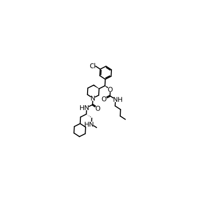 CCCCNC(=O)O[C@H](c1cccc(Cl)c1)[C@@H]1CCCN(C(=O)N[C@H](CNC)CC2CCCCC2)C1